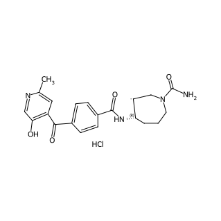 Cc1cc(C(=O)c2ccc(C(=O)N[C@@H]3[CH]CN(C(N)=O)CCC3)cc2)c(O)cn1.Cl